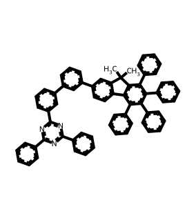 CC1(C)c2cc(-c3cccc(-c4cccc(-c5nc(-c6ccccc6)nc(-c6ccccc6)n5)c4)c3)ccc2-c2c(-c3ccccc3)c(-c3ccccc3)c(-c3ccccc3)c(-c3ccccc3)c21